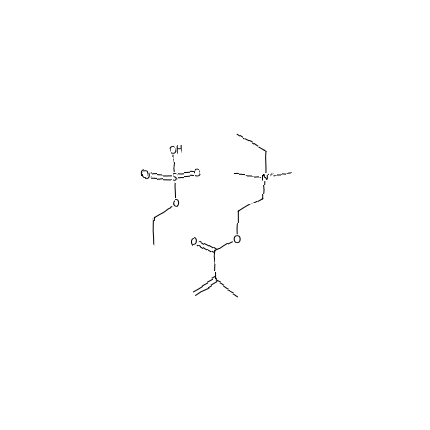 C=C(C)C(=O)OCC[N+](C)(C)CC.CCOS(=O)(=O)O